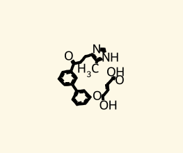 Cc1[nH]cnc1CCC(=O)c1cccc(-c2ccccc2)c1.O=C(O)C=CC(=O)O